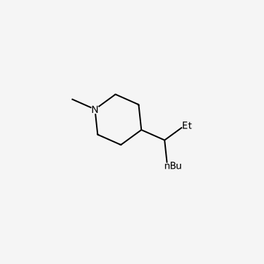 CCCCC(CC)C1CCN(C)CC1